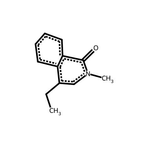 CCc1cn(C)c(=O)c2ccccc12